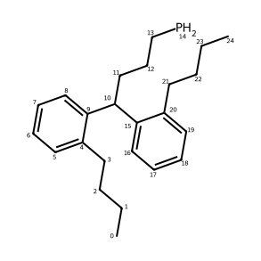 CCCCc1ccccc1C(CCCP)c1ccccc1CCCC